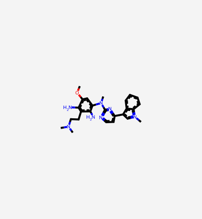 COc1cc(N(C)c2nccc(-c3cn(C)c4ccccc34)n2)c(N)c(CCN(C)C)c1N